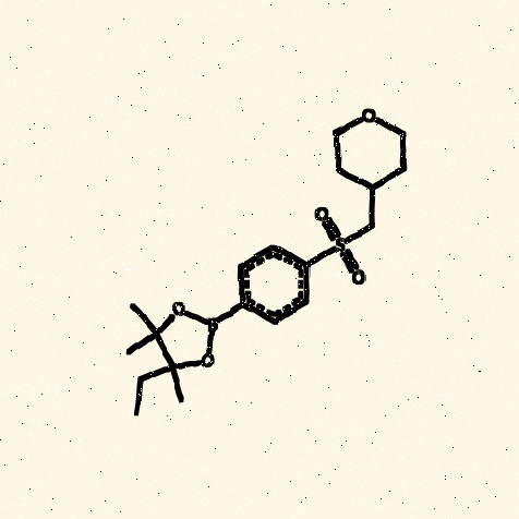 CCC1(C)OB(c2ccc(S(=O)(=O)CC3CCOCC3)cc2)OC1(C)C